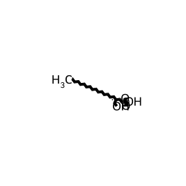 CCCCCCCCCCCCCCCC[C](CO)CCS(=O)(=O)O